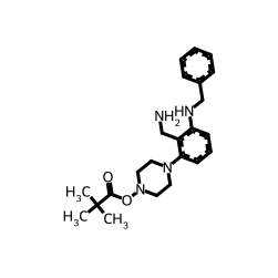 CC(C)(C)C(=O)ON1CCN(c2cccc(NCc3ccccc3)c2CN)CC1